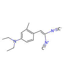 [C-]#[N+]C(=Cc1ccc(N(CC)CC)cc1C)[N+]#[C-]